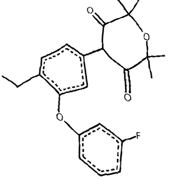 CCc1ccc(C2C(=O)C(C)(C)OC(C)(C)C2=O)cc1Oc1cccc(F)c1